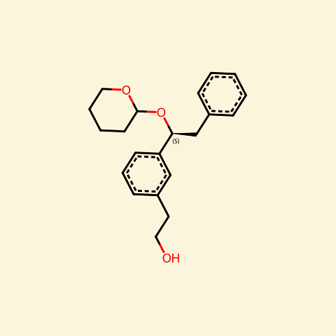 OCCc1cccc([C@H](Cc2ccccc2)OC2CCCCO2)c1